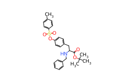 Cc1ccc(S(=O)(=O)Oc2ccc(CC(NCc3ccccc3)C(=O)OC(C)(C)C)cc2)cc1